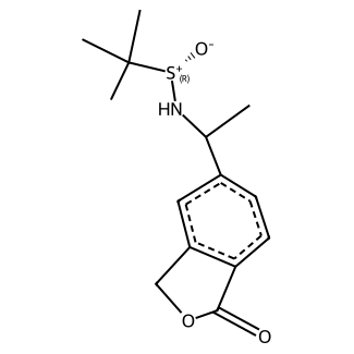 CC(N[S@@+]([O-])C(C)(C)C)c1ccc2c(c1)COC2=O